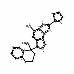 Nc1nc2c(cnn2C2(C(=O)O)CCCc3ccccc32)c2nc(-c3ccco3)nn12